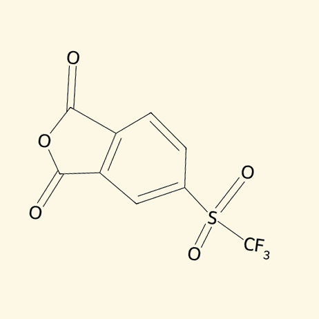 O=C1OC(=O)c2cc(S(=O)(=O)C(F)(F)F)ccc21